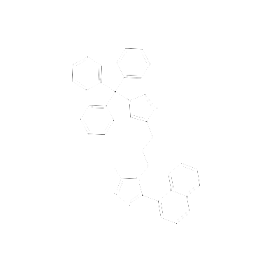 Sc1nnc(-c2cccc3ccccc23)n1CCCc1cn(C(c2ccccc2)(c2ccccc2)c2ccccc2)cn1